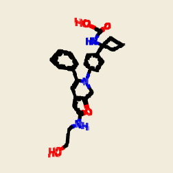 O=C(O)NC1(c2ccc(N3Cc4oc(NCCO)cc4C=C3c3ccccc3)cc2)CCC1